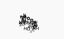 COC(=O)NC(CC(=O)N1CCCC1c1ncc(-c2ccc(-c3ccc(-c4cnc([C@@H]5CCCN5C(=O)[C@@H](NC(=O)O)C(C)C)[nH]4)cc3)cc2)[nH]1)c1cscn1